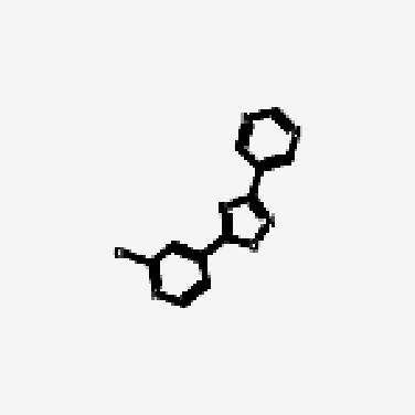 Clc1cc(-c2nc(-c3cncnc3)no2)ccn1